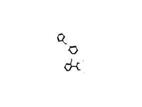 COC=C(C(=O)OC)c1ccccc1COc1ccc(F)c(OCc2ccccc2)c1F